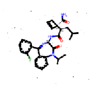 CC(C)C[C@@H](C(=O)N[C@@H]1N=C(c2ccccc2F)c2ccccc2N(C(C)C)C1=O)[C@@]1(C(N)=O)C=CC1